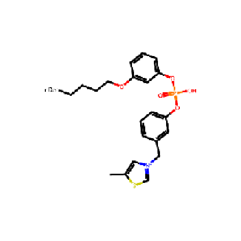 CCCCCCCCCCCCCCOc1cccc(OP(=O)(O)Oc2cccc(C[n+]3csc(C)c3)c2)c1